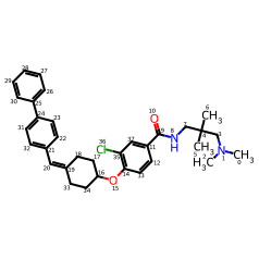 CN(C)CC(C)(C)CNC(=O)c1ccc(OC2CCC(=Cc3ccc(-c4ccccc4)cc3)CC2)c(Cl)c1